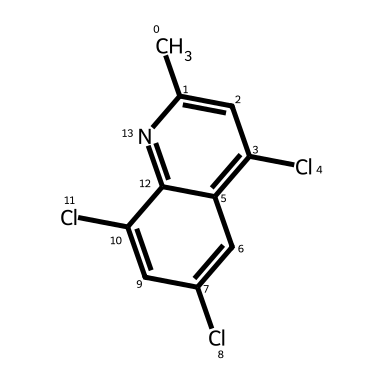 Cc1cc(Cl)c2cc(Cl)cc(Cl)c2n1